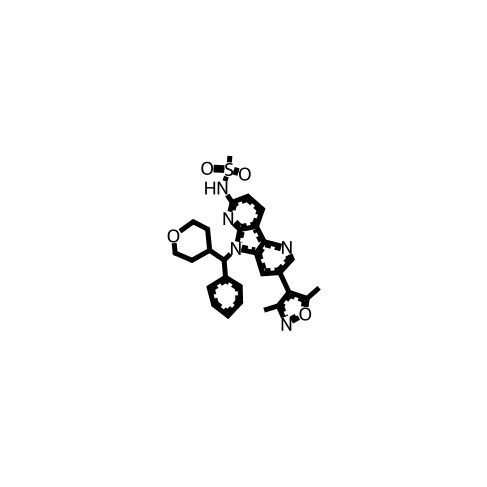 Cc1noc(C)c1-c1cnc2c3ccc(NS(C)(=O)=O)nc3n(C(c3ccccc3)C3CCOCC3)c2c1